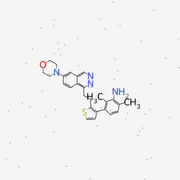 Cc1ccc(-c2ccsc2CCc2nncc3cc(N4CCOCC4)ccc23)c(C)c1N